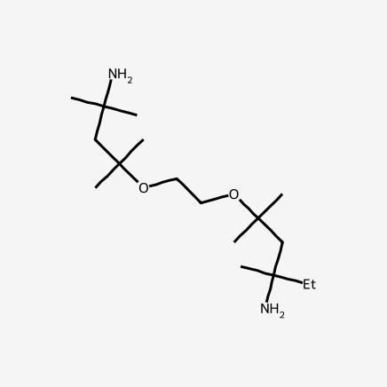 CCC(C)(N)CC(C)(C)OCCOC(C)(C)CC(C)(C)N